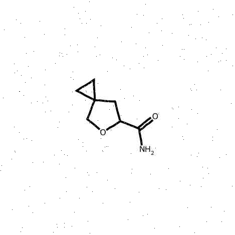 NC(=O)C1CC2(CC2)CO1